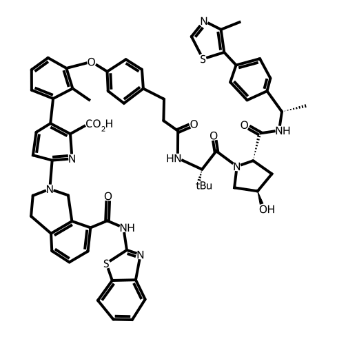 Cc1ncsc1-c1ccc([C@H](C)NC(=O)[C@@H]2C[C@@H](O)CN2C(=O)[C@@H](NC(=O)CCc2ccc(Oc3cccc(-c4ccc(N5CCc6cccc(C(=O)Nc7nc8ccccc8s7)c6C5)nc4C(=O)O)c3C)cc2)C(C)(C)C)cc1